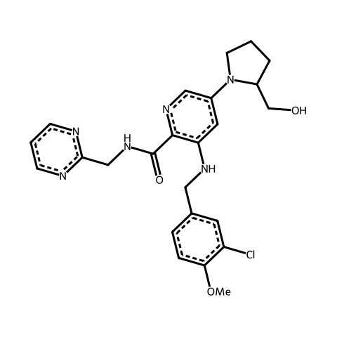 COc1ccc(CNc2cc(N3CCCC3CO)cnc2C(=O)NCc2ncccn2)cc1Cl